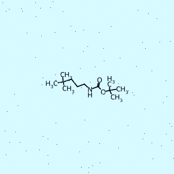 CC(C)(C)CCCNC(=O)OC(C)(C)C